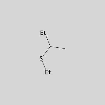 [CH2]CSC(C)CC